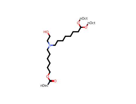 CCCCCCCCCCC(=O)OCCCCCCN(CCO)CCCCCCCC(OCCCCCCCC)OCCCCCCCC